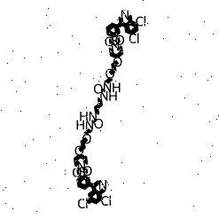 CN1Cc2c(Cl)cc(Cl)cc2C(c2cccc(S(=O)(=O)N3CCC(OCCOCCNC(=O)NCCCCNC(=O)NCCOCCOC4CCN(S(=O)(=O)c5cccc(C6CN(C)Cc7c(Cl)cc(Cl)cc76)c5)CC4)CC3)c2)C1